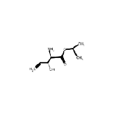 C=C[C@@H](O)[C@@H](N)C(=O)OC(C)C